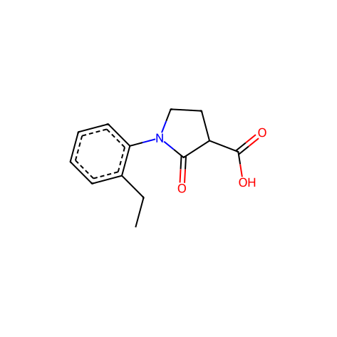 CCc1ccccc1N1CCC(C(=O)O)C1=O